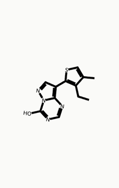 CCc1c(C)csc1-c1cnn2c(O)ncnc12